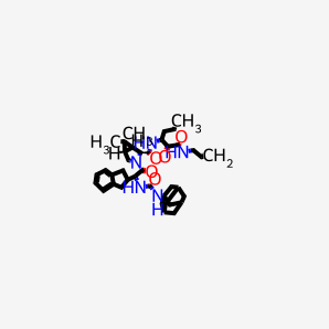 C=CCNC(=O)C(=O)C(CCC)NC(=O)[C@@H]1[C@@H]2[C@H](CN1C(=O)C(NC(=O)NC13CC4CC(CC(C4)C1)C3)C1Cc3ccccc3C1)C2(C)C